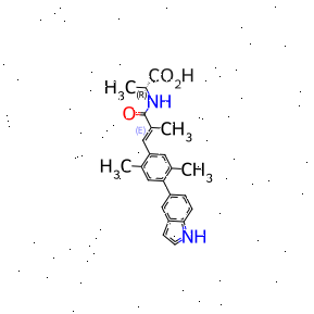 C/C(=C\c1cc(C)c(-c2ccc3[nH]ccc3c2)cc1C)C(=O)N[C@H](C)C(=O)O